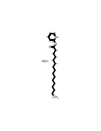 CCCCCCCCCCCCCCCC(=O)Oc1ccccn1.Cl